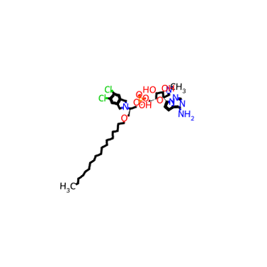 CCCCCCCCCCCCCCCCCCOC[C@H](COP(=O)(O)OC[C@H]1O[C@@](C=NC)(c2ccc3c(N)ncnn23)[C@H](O)[C@@H]1O)N1Cc2cc(Cl)c(Cl)cc2C1